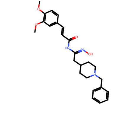 COc1ccc(C=CC(=O)NC(CC2CCN(Cc3ccccc3)CC2)=NO)cc1OC